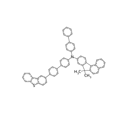 CC1(C)c2cc(N(c3ccc(-c4ccccc4)cc3)c3ccc(-c4ccc(-c5ccc6sc7ccccc7c6c5)cc4)cc3)ccc2-c2c1ccc1ccccc21